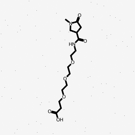 CN1CC(C(=O)NCCOCCOCCOCCC(=O)O)CC1=O